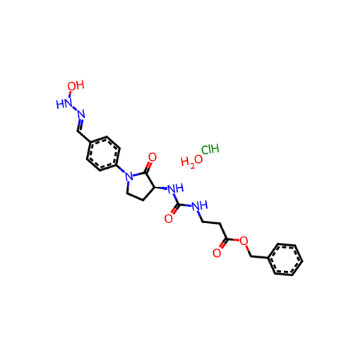 Cl.O.O=C(NCCC(=O)OCc1ccccc1)N[C@H]1CCN(c2ccc(C=NNO)cc2)C1=O